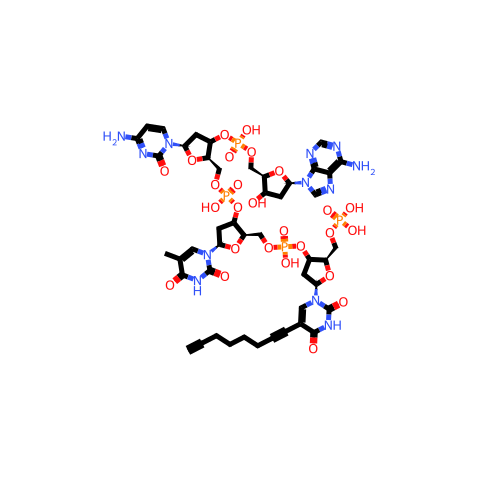 C#CCCCCC#Cc1cn([C@H]2CC(OP(=O)(O)OC[C@H]3O[C@@H](n4cc(C)c(=O)[nH]c4=O)CC3OP(=O)(O)OC[C@H]3O[C@@H](n4ccc(N)nc4=O)CC3OP(=O)(O)OC[C@H]3O[C@@H](n4cnc5c(N)ncnc54)CC3O)[C@@H](COP(=O)(O)O)O2)c(=O)[nH]c1=O